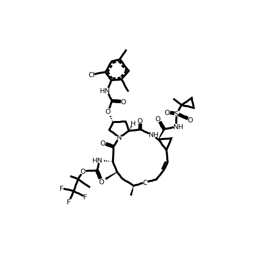 Cc1cc(C)c(NC(=O)O[C@@H]2C[C@H]3C(=O)N[C@]4(C(=O)NS(=O)(=O)C5(C)CC5)CC4/C=C\CC[C@@H](C)C[C@@H](C)[C@H](NC(=O)OC(C)(C)C(F)(F)F)C(=O)N3C2)c(Cl)c1